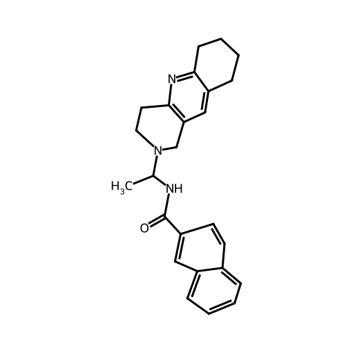 CC(NC(=O)c1ccc2ccccc2c1)N1CCc2nc3c(cc2C1)CCCC3